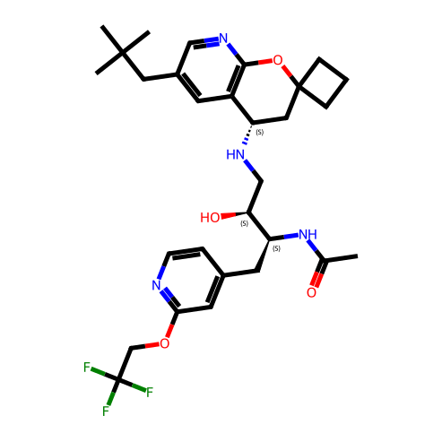 CC(=O)N[C@@H](Cc1ccnc(OCC(F)(F)F)c1)[C@@H](O)CN[C@H]1CC2(CCC2)Oc2ncc(CC(C)(C)C)cc21